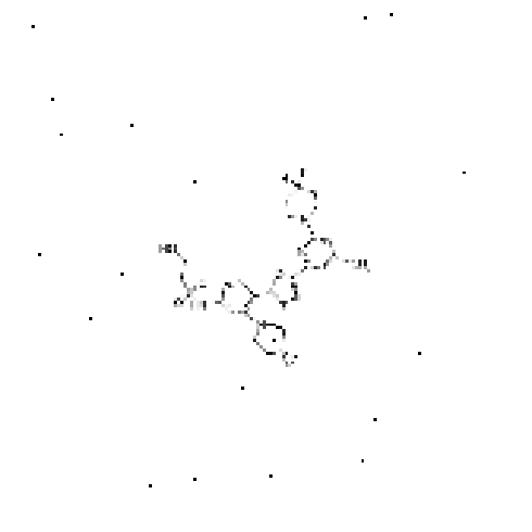 Cc1cc(-c2nnc(-c3ccc(NS(=O)(=O)CCO)cc3N3CCC4(CC3)CC4)o2)nc(N2CCC(F)(F)CC2)n1